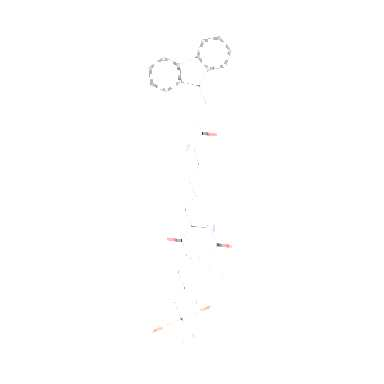 CC(C)(C)OC(=O)NC(CCCCNC(=O)OCC1c2ccccc2-c2ccccc21)C(=O)NCCCC(O)(P(=O)(O)O)P(=O)(O)O